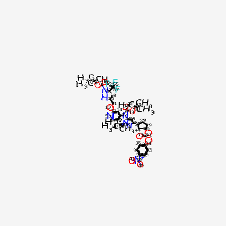 CC(C)(C)OC(=O)N[C@@H](CCCOc1cc(N(C(=O)OC(C)(C)C)c2cc([C@H]3CC[C@@H](OC(=O)Oc4ccc([N+](=O)[O-])cc4)C3)nn2C(C)(C)C)ccn1)C(F)(F)F